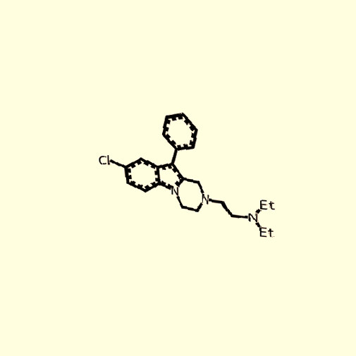 CCN(CC)CCN1CCn2c(c(-c3ccccc3)c3cc(Cl)ccc32)C1